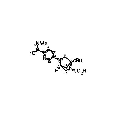 CNC(=O)c1ccc(N2C[C@@]3(C(C)(C)C)C[C@H]2CN3C(=O)O)cn1